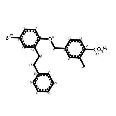 Cc1cc(COc2ccc(Br)cc2CCc2ccccc2)ccc1C(=O)O